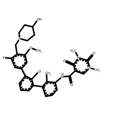 COc1cc(-c2cccc(-c3cccc(NC(=O)c4cn(C)c(=O)n(C)c4=O)c3C)c2Cl)cc(F)c1CN1CCC(O)CC1